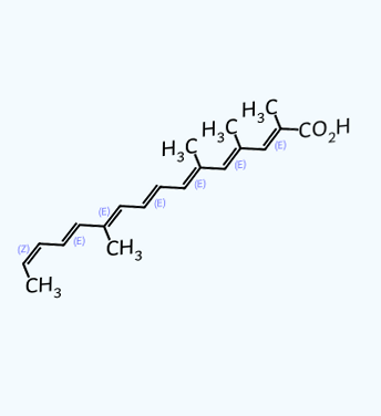 C\C=C/C=C/C(C)=C/C=C/C=C(C)/C=C(C)/C=C(\C)C(=O)O